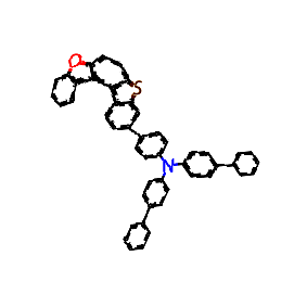 c1ccc(-c2ccc(N(c3ccc(-c4ccccc4)cc3)c3ccc(-c4ccc5c(c4)sc4ccc6oc7ccccc7c6c45)cc3)cc2)cc1